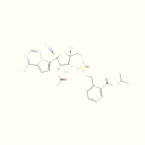 CC(=O)O[C@@H]1[C@@H]2OP(=O)(OCc3ccccc3C(=O)OC(C)C)OC[C@H]2O[C@@]1(C#N)c1ccc2c(N)ncnn12